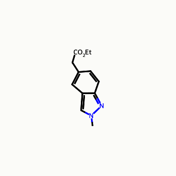 CCOC(=O)Cc1ccc2nn(C)cc2c1